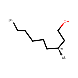 CC[C@H](CCO)CCCCCC(C)C